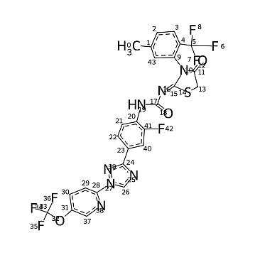 Cc1ccc(C(F)(F)F)c(N2C(=O)CS/C2=N\C(=O)Nc2ccc(-c3ncn(-c4ccc(OC(F)(F)F)cn4)n3)cc2F)c1